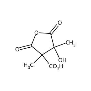 CC1(O)C(=O)OC(=O)C1(C)C(=O)O